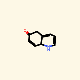 O=C1C=CC2N[C]=CC=C2C1